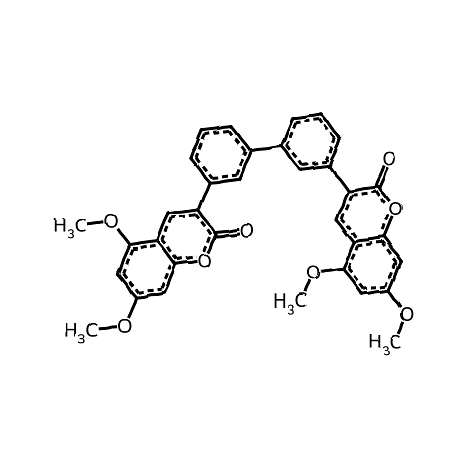 COc1cc(OC)c2cc(-c3cccc(-c4cccc(-c5cc6c(OC)cc(OC)cc6oc5=O)c4)c3)c(=O)oc2c1